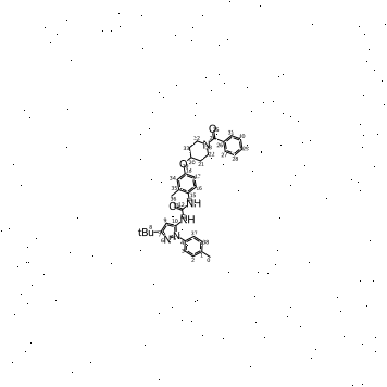 Cc1ccc(-n2nc(C(C)(C)C)cc2NC(=O)Nc2ccc(OC3CCN(C(=O)c4ccccc4)CC3)cc2C)cc1